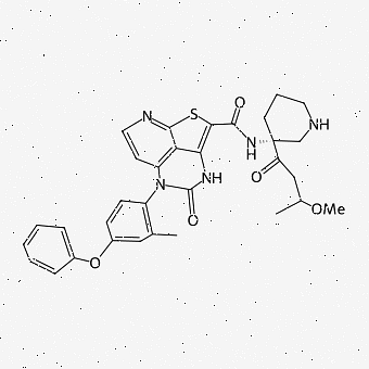 COC(C)CC(=O)[C@@]1(NC(=O)c2sc3nccc4c3c2NC(=O)N4c2ccc(Oc3ccccc3)cc2C)CCCNC1